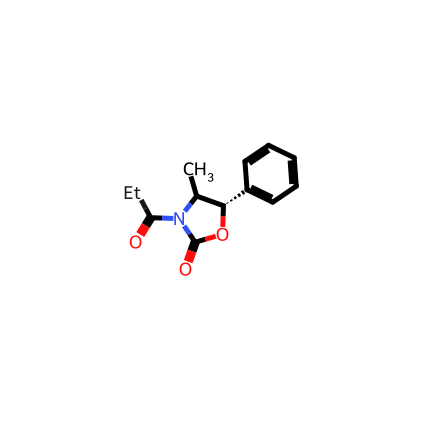 CCC(=O)N1C(=O)O[C@@H](c2ccccc2)C1C